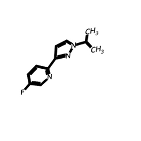 CC(C)n1ccc(-c2ccc(F)cn2)n1